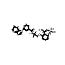 CC(C)(COc1cccc2c1C(N)=NS(O)(O)N2)NC(=O)c1ccnc(-n2cnc3ncccc32)c1